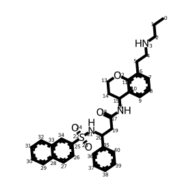 CCCNCCc1cccc2c1OCCC2NC(=O)CC(NS(=O)(=O)c1ccc2ccccc2c1)c1ccccc1